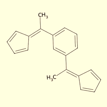 CC(=C1C=CC=C1)c1cccc(C(C)=C2C=CC=C2)c1